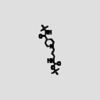 CC(C)(C)NC(=O)C1CCN(CCCNC(=O)OC(C)(C)C)CC1